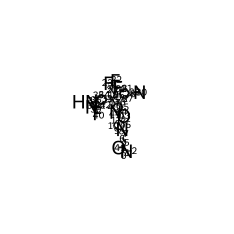 CN(C)C(=O)/C=C/CN1CCC[C@@H](Oc2ccc(/C(=C(/CC(F)(F)F)c3ccc(C#N)cc3)c3ccc4[nH]nc(F)c4c3)cn2)C1